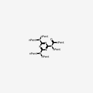 CCCCCC(=O)N(CCCCC)c1nc(N(CCCCC)CCCCC)nc(N(CCCCC)CCCCC)n1